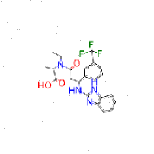 CCN(C(=O)CC(Nc1nc2ccccc2[nH]1)c1cccc(C(F)(F)F)c1)C(C)C(=O)O